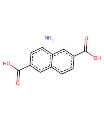 N.O=C(O)c1ccc2cc(C(=O)O)ccc2c1